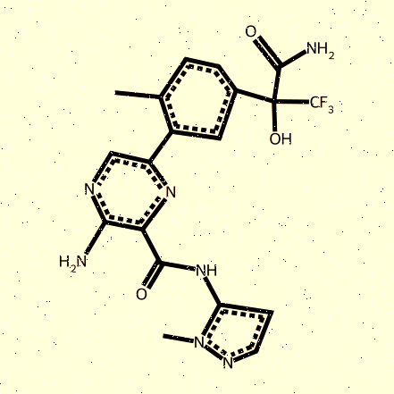 Cc1ccc(C(O)(C(N)=O)C(F)(F)F)cc1-c1cnc(N)c(C(=O)Nc2ccnn2C)n1